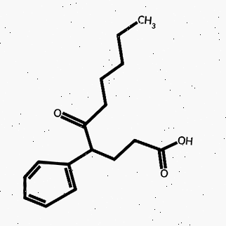 CCCCCC(=O)C(CCC(=O)O)c1ccccc1